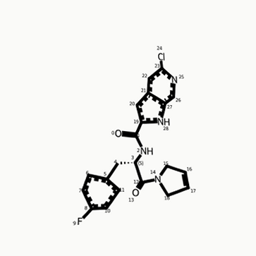 O=C(N[C@@H](Cc1ccc(F)cc1)C(=O)N1CC=CC1)c1cc2cc(Cl)ncc2[nH]1